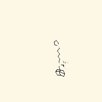 Cl.Cl.N=C(N)N(CCCCCCN1CCCC1)CC12CC3CC(CC(C3)C1)C2